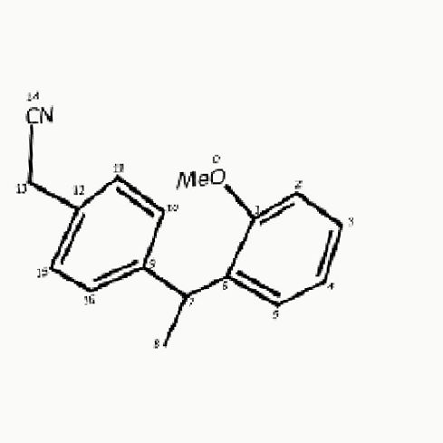 COc1ccccc1C(C)c1ccc(CC#N)cc1